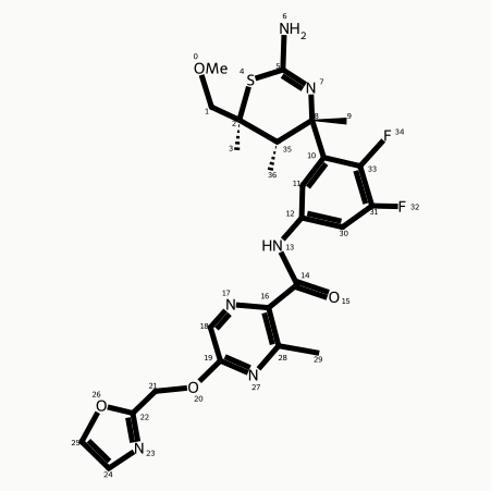 COC[C@@]1(C)SC(N)=N[C@](C)(c2cc(NC(=O)c3ncc(OCc4ncco4)nc3C)cc(F)c2F)[C@@H]1C